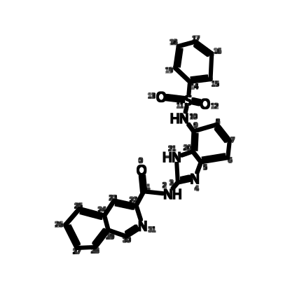 O=C(Nc1nc2cccc(NS(=O)(=O)c3ccccc3)c2[nH]1)c1cc2ccccc2cn1